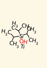 CC(C)[Si](O)(C(C)C)C(C)C.[Ti]